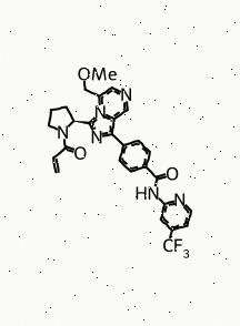 C=CC(=O)N1CCC[C@H]1c1nc(-c2ccc(C(=O)Nc3cc(C(F)(F)F)ccn3)cc2)c2cncc(COC)n12